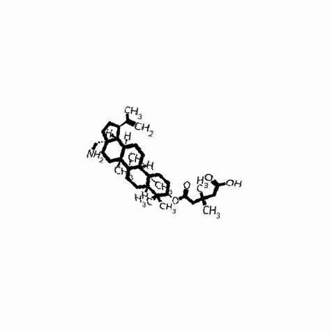 C=C(C)[C@@H]1CC[C@]2(CN)CC[C@]3(C)[C@H](CC[C@@H]4[C@@]5(C)CC[C@H](OC(=O)CC(C)(C)CC(=O)O)C(C)(C)[C@@H]5CC[C@]43C)[C@@H]12